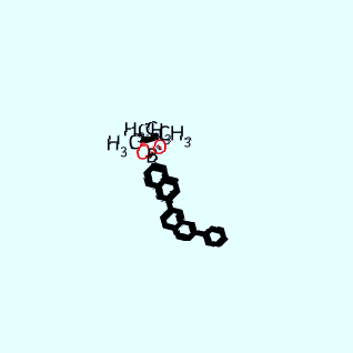 CC1(C)OB(c2ccc3cc(-c4ccc5ccc(-c6ccccc6)cc5c4)ccc3c2)OC1(C)C